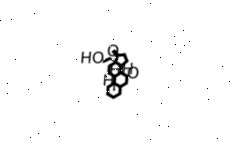 C[C@]12CCCCC1CC(=O)[C@H]1[C@@H]3CCC(=O)[C@@]3(CCO)CC[C@@H]12